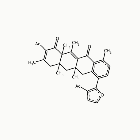 CC(=O)C1=C(C)CC2(C)CC3(C)Cc4c(-c5occc5C(C)=O)ccc(C)c4C(=O)C3=C(C)C2(C)C1=O